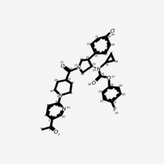 CC(=O)c1ccc(N2CCC(C(=O)N3CC(c4ccc(Cl)cc4)[C@H](N(C(=O)Oc4ccc(F)cc4)C4CC4)C3)CC2)nc1